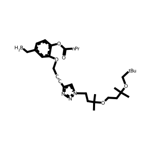 BCc1ccc(OC(=O)CCC)c(OCCCc2cn(CCC(C)(C)OCCC(C)(C)OCC(C)(C)C)nn2)c1